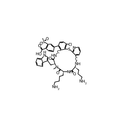 CN1C(=O)[C@H](CCCCN)NC(=O)[C@H](CCCN)NCc2cccnc2Sc2c(Cl)ccc(-c3ccc(C(=O)O)c(S(C)(=O)=O)c3)c2CNC(=O)[C@@H]1Cc1c[nH]c2ccccc12